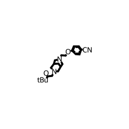 CC(C)(C)C(=O)CN1CC2CC(CN(CCOc3ccc(C#N)cc3)C2)C1